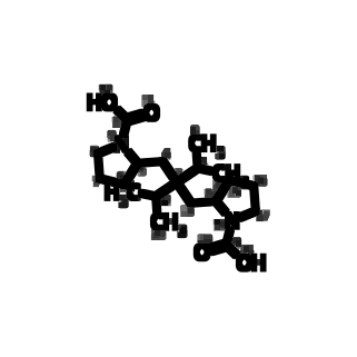 CC(C)C(CC1CCCN1C(=O)O)(CC1CCCN1C(=O)O)C(C)C